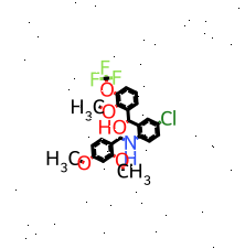 COc1ccc(CNc2ccc(Cl)cc2C(O)c2cccc(OC(F)(F)F)c2OC)c(OC)c1